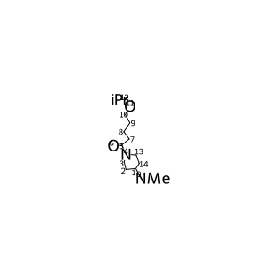 CNC1CCN(C(=O)CCCCOC(C)C)CC1